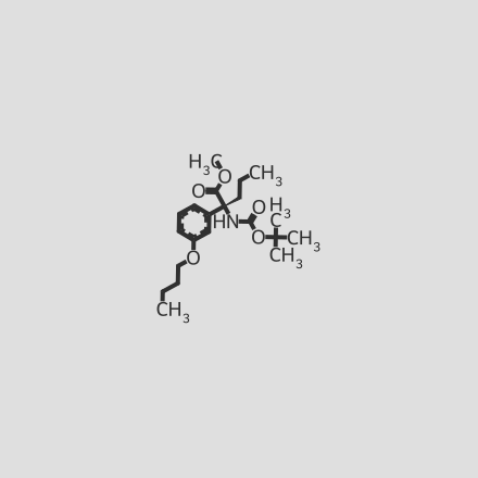 CCCCOc1cccc([C@@](CCC)(NC(=O)OC(C)(C)C)C(=O)OC)c1